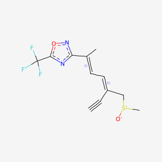 C#C/C(=C\C=C(/C)c1noc(C(F)(F)F)n1)C[S+](C)[O-]